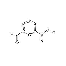 CC(=O)C1=C=CC=C(C(=O)OF)O1